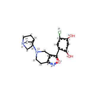 Oc1cc(O)c(-c2onc3c2CN(C2CN4CCC2CC4)CC3)cc1Cl